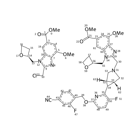 COC(=O)c1cc(OC)c2nc(CCl)n(C[C@@H]3CCO3)c2c1.COC(=O)c1cc(OC)c2nc(CN3C[C@@H]4C(c5nc(OCc6ccc(C#N)cc6F)ccc5F)[C@@H]4C3)n(C[C@@H]3CCO3)c2c1